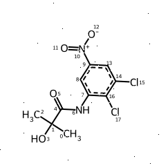 CC(C)(O)C(=O)Nc1cc([N+](=O)[O-])cc(Cl)c1Cl